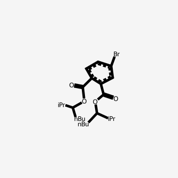 CCCCC(OC(=O)c1ccc(Br)cc1C(=O)OC(CCCC)C(C)C)C(C)C